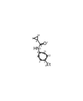 CCc1ccc(NC(=O)C2CC2)cc1